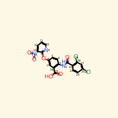 O=C(Nc1ccc(Oc2ncccc2[N+](=O)[O-])cc1C(=O)O)c1ccc(Cl)cc1Cl